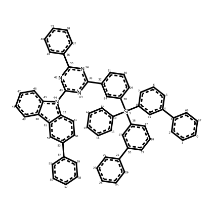 c1ccc(-c2cccc([Si](c3ccccc3)(c3cccc(-c4ccccc4)c3)c3cccc(-c4nc(-c5ccccc5)nc(-n5c6ccccc6c6cc(-c7ccccc7)ccc65)n4)c3)c2)cc1